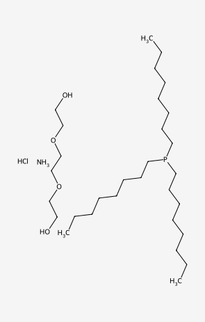 CCCCCCCCP(CCCCCCCC)CCCCCCCC.Cl.N.OCCOCCOCCO